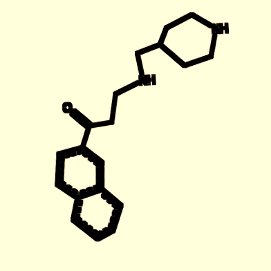 O=C(CCNCC1CCNCC1)c1ccc2ccccc2c1